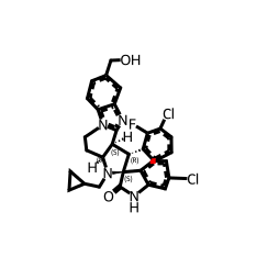 O=C1Nc2cc(Cl)ccc2[C@@]12[C@@H](c1cccc(Cl)c1F)[C@@H]1c3nc4cc(CO)ccc4n3CC[C@@H]1N2CC1CC1